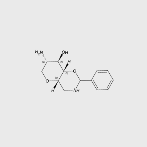 N[C@H]1CO[C@H]2CNC(c3ccccc3)O[C@H]2[C@@H]1O